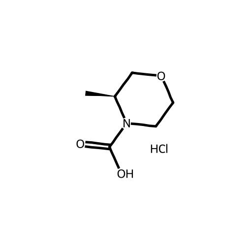 C[C@H]1COCCN1C(=O)O.Cl